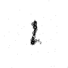 CC(C)(C)OC(=O)N1CCC(OCCOCCOCCOc2ccccc2N)CC1